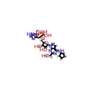 O=P(O)(O)C(CO)(Cc1nn[nH]n1)OC[C@H]1O[C@@H](n2ncc3c(NC4CCCC4)nc(CO)nc32)[C@H](O)[C@@H]1O